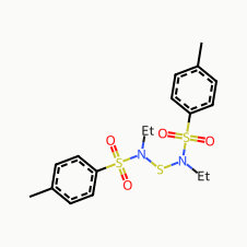 CCN(SN(CC)S(=O)(=O)c1ccc(C)cc1)S(=O)(=O)c1ccc(C)cc1